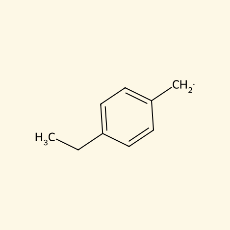 [CH2]c1ccc(CC)cc1